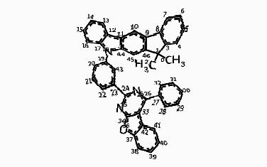 CC1(C)c2ccccc2-c2cc3c4ccccc4n(-c4cccc(-c5nc(-c6ccccc6)c6c(n5)oc5ccccc56)c4)c3cc21